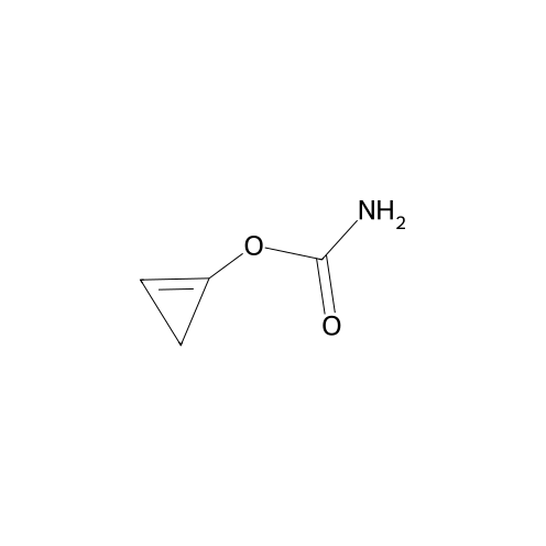 NC(=O)OC1=CC1